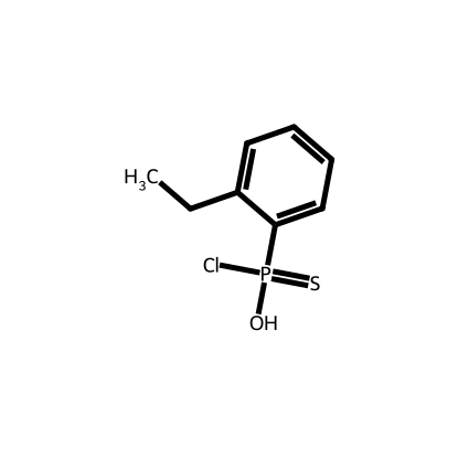 CCc1ccccc1P(O)(=S)Cl